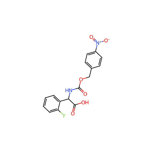 O=C(NC(C(=O)O)c1ccccc1F)OCc1ccc([N+](=O)[O-])cc1